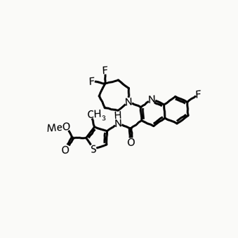 COC(=O)c1scc(NC(=O)c2cc3ccc(F)cc3nc2N2CCCC(F)(F)CC2)c1C